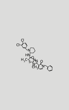 CC(Sc1nnc(-c2cccn(Cc3ccccc3)c2=O)n1C)C(=O)NC1CCCCN1Cc1ccc(Cl)c(Cl)c1